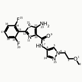 COCCn1cc(NC(=O)c2nc(-c3c(F)cccc3F)sc2N)cn1